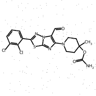 CC1(OC(N)=O)CCN(c2nc3sc(-c4cccc(Cl)c4Cl)nn3c2C=O)CC1